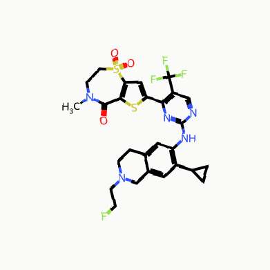 CN1CCS(=O)(=O)c2cc(-c3nc(Nc4cc5c(cc4C4CC4)CN(CCF)CC5)ncc3C(F)(F)F)sc2C1=O